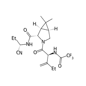 C=C(CC)[C@H](NC(=O)C(F)(F)F)C(=O)N1C[C@H]2[C@@H]([C@H]1C(=O)N[C@H](C#N)CC)C2(C)C